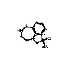 CCC1(CC)CN2CCNCc3cccc1c32